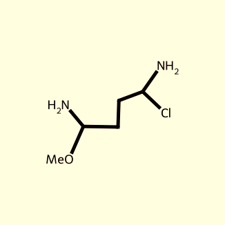 COC(N)CCC(N)Cl